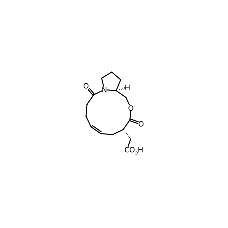 O=C(O)C[C@@H]1CC=CCCC(=O)N2CCC[C@H]2COC1=O